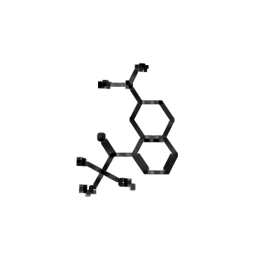 CCCN(CCC)C1CCc2cccc(C(=O)C(C)(C)CC)c2C1